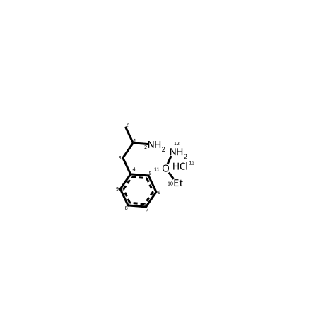 CC(N)Cc1ccccc1.CCON.Cl